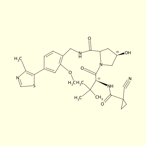 COc1cc(-c2scnc2C)ccc1CNC(=O)C1C[C@@H](O)CN1C(=O)[C@@H](NC(=O)C1(C#N)CC1)C(C)(C)C